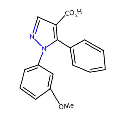 COc1cccc(-n2ncc(C(=O)O)c2-c2ccccc2)c1